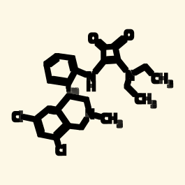 CCN(CC)c1c(Nc2ccccc2[C@@H]2CN(C)Cc3c(Cl)cc(Cl)cc32)c(=O)c1=O